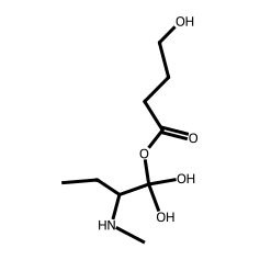 CCC(NC)C(O)(O)OC(=O)CCCO